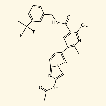 COc1nc(C)c(-c2ccc3nc(NC(C)=O)cn3n2)cc1C(=O)NCc1cccc(C(F)(F)F)c1